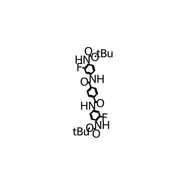 CC(C)(C)OC(=O)Nc1ccc(NC(=O)c2ccc(C(=O)Nc3ccc(NC(=O)OC(C)(C)C)c(F)c3)cc2)cc1F